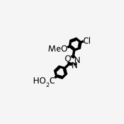 COc1ccc(Cl)cc1-c1nnc(-c2ccc(C(=O)O)cc2)o1